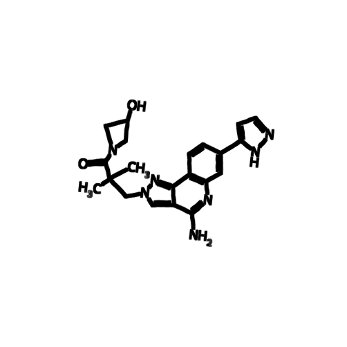 CC(C)(Cn1cc2c(N)nc3cc(-c4ccn[nH]4)ccc3c2n1)C(=O)N1CC(O)C1